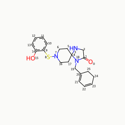 O=C1CNC2(CCN(Sc3ccccc3O)CC2)N1CC1=CC=CCC1